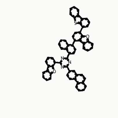 c1ccc2c(c1)ccc1cc(-c3nc(-c4ccc(-c5ccc(-c6cccc7c6sc6ccccc67)c6oc7ccccc7c56)c5ccccc45)nc(-c4cccc5c4oc4ccccc45)n3)ccc12